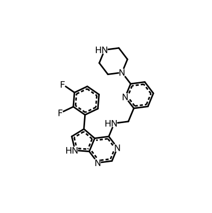 Fc1cccc(-c2c[nH]c3ncnc(NCc4cccc(N5CCNCC5)n4)c23)c1F